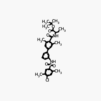 CCC(NC(=O)c1c(C)cc(-c2cccc(NS(=O)(=O)c3cc(C)c(Cl)cc3C)c2)cc1C)C(=O)OC(C)(C)C